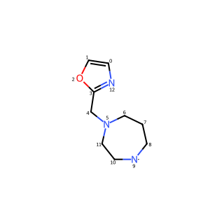 c1coc(CN2CCC[N]CC2)n1